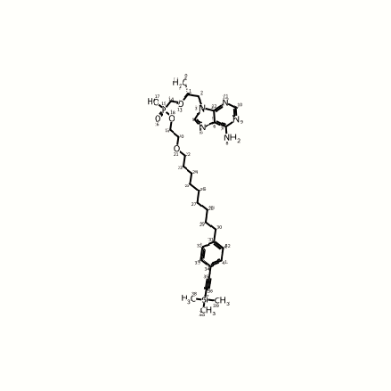 C[C@H](Cn1cnc2c(N)ncnc21)OCP(=O)(O)OCCOCCCCCCCCCc1ccc(C#C[Si](C)(C)C)cc1